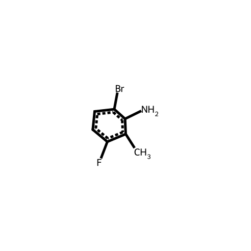 Cc1c(F)ccc(Br)c1N